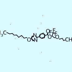 CCCCCCCCCCOc1cnc(-c2ccc(C(=O)OC(COCCCC)C(F)(F)F)cc2)nc1